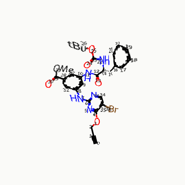 C#CCOc1nc(Nc2cc(NC(=O)[C@@H](Cc3ccccc3)NC(=O)OC(C)(C)C)cc(C(=O)OC)c2)ncc1Br